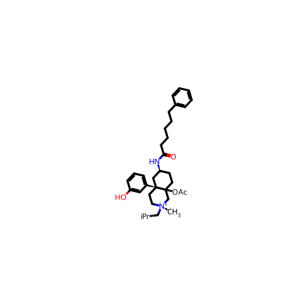 CC(=O)OC12CC[C@H](NC(=O)CCCCCc3ccccc3)C[C@@]1(c1cccc(O)c1)CC[N@@+](C)(CC(C)C)C2